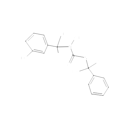 Cc1cccc(C(C)(C)N(C)C(=O)NC(C)(C)c2ccccc2)c1